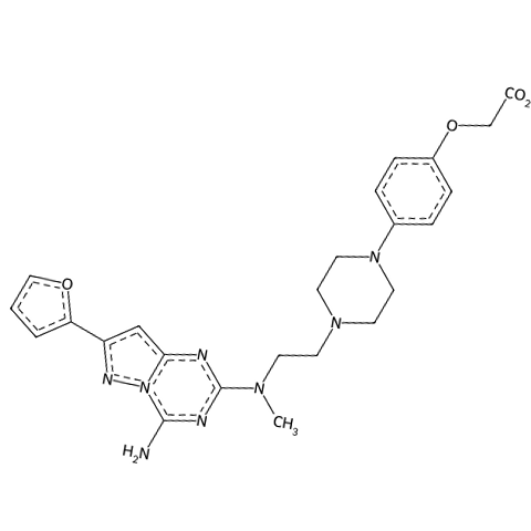 CN(CCN1CCN(c2ccc(OCC(=O)O)cc2)CC1)c1nc(N)n2nc(-c3ccco3)cc2n1